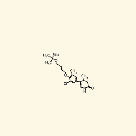 Cc1cc(C2=NNC(=O)CC2C)cc(Cl)c1OCC=CCO[Si](C)(C)C(C)(C)C